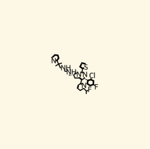 CC(F)C1CC=CC(C2=C3C[C@H](CNCNCC(C)(C)c4ccccn4)CN3C(c3cccs3)=N[C@H]2c2ccc(F)cc2Cl)=N1